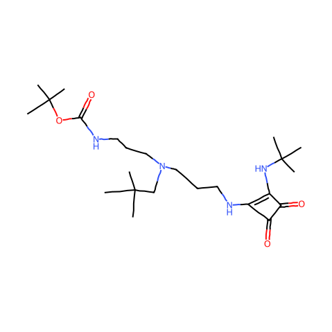 CC(C)(C)CN(CCCNC(=O)OC(C)(C)C)CCCNc1c(NC(C)(C)C)c(=O)c1=O